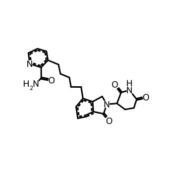 NC(=O)c1ncccc1CCCCCc1cccc2c1CN(C1CCC(=O)NC1=O)C2=O